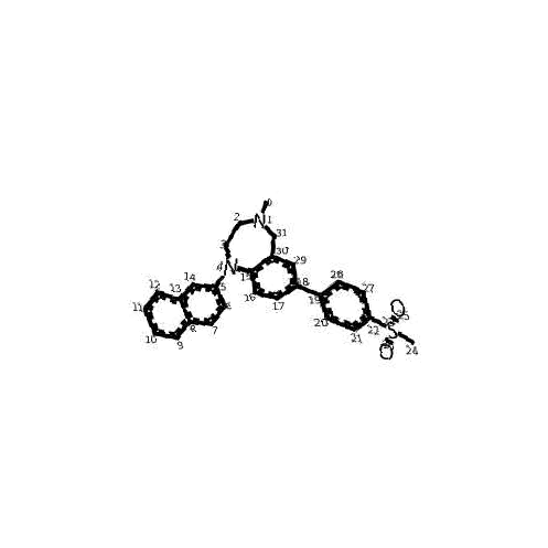 CN1CCN(c2ccc3ccccc3c2)c2ccc(-c3ccc(S(C)(=O)=O)cc3)cc2C1